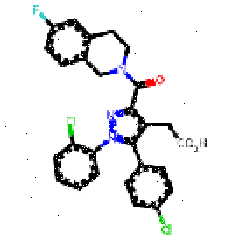 O=C(O)Cc1c(C(=O)N2CCc3cc(F)ccc3C2)nn(-c2ccccc2Cl)c1-c1ccc(Cl)cc1